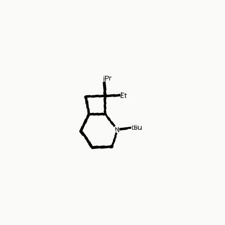 CCC1(C(C)C)CC2CCCN(C(C)(C)C)C21